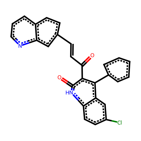 O=C(C=Cc1ccc2cccnc2c1)c1c(-c2ccccc2)c2cc(Cl)ccc2[nH]c1=O